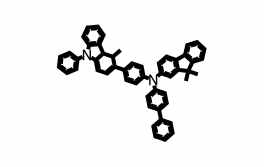 CC1C(c2ccc(N(c3ccc(-c4ccccc4)cc3)c3ccc4c(c3)C(C)(C)c3ccccc3-4)cc2)=CC=C2C1c1ccccc1N2c1ccccc1